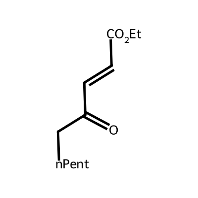 CCCCCCC(=O)C=CC(=O)OCC